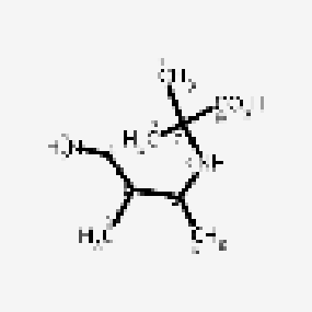 CC(CN)C(C)NC(C)(C)C(=O)O